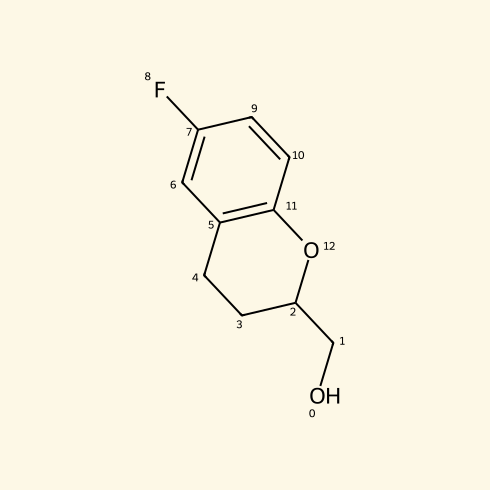 OCC1CCc2cc(F)ccc2O1